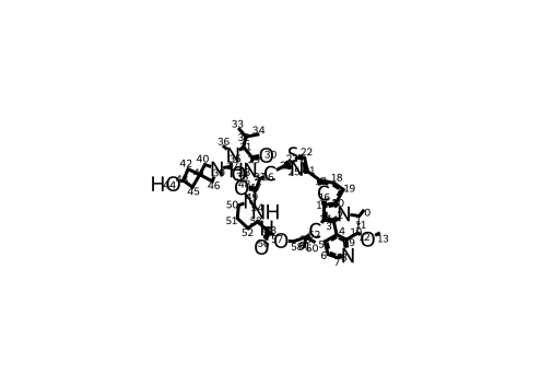 CCn1c(-c2cccnc2[C@H](C)OC)c2c3cc(ccc31)-c1csc(n1)C[C@H](NC(=O)C(C(C)C)N(C)C(=O)N1CC3(CC(O)C3)C1)C(=O)N1CCC[C@H](N1)C(=O)OCC(C)(C)C2